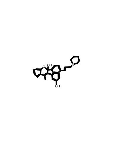 CC1=C(c2cccc(O)c2)C(O)(c2ccc(/C=C/CN3CCCCC3)cc2)Oc2ccccc21